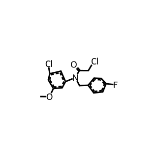 COc1cc(Cl)cc(N(Cc2ccc(F)cc2)C(=O)CCl)c1